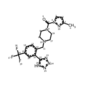 Cc1ccn(C(=O)N2CCN(Cc3ccc(C(F)(F)F)cc3-c3nnn[nH]3)CC2)n1